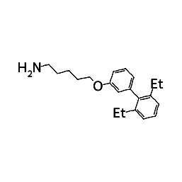 CCc1cccc(CC)c1-c1cccc(OCCCCCN)c1